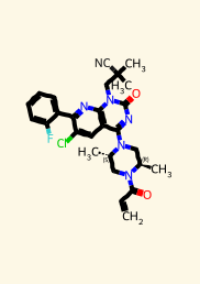 C=CC(=O)N1C[C@H](C)N(c2nc(=O)n(CC(C)(C)C#N)c3nc(-c4ccccc4F)c(Cl)cc23)C[C@H]1C